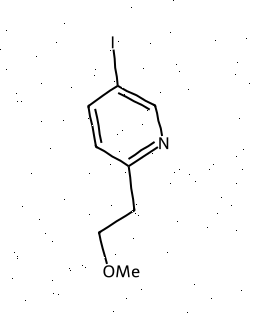 COCCc1ccc(I)cn1